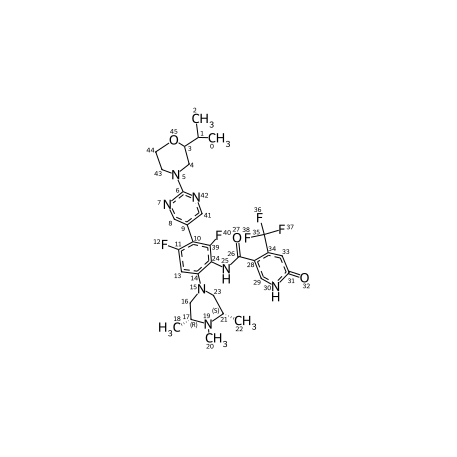 CC(C)C1CN(c2ncc(-c3c(F)cc(N4C[C@@H](C)N(C)[C@@H](C)C4)c(NC(=O)c4c[nH]c(=O)cc4C(F)(F)F)c3F)cn2)CCO1